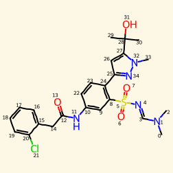 CN(C)C=NS(=O)(=O)c1cc(NC(=O)Cc2ccccc2Cl)ccc1-c1cc(C(C)(C)O)n(C)n1